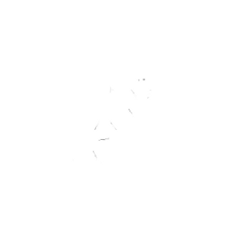 COC(=O)c1ccc(CC(=O)c2cc(Cl)c(O)cc2O)cc1